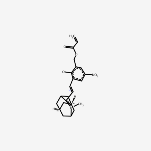 C=CC(=O)OCc1cc([N+](=O)[O-])cc(/C=C/C2=[N+](C)C3C[C@H]4CC2C[C@@H](C3)C4)c1[O-]